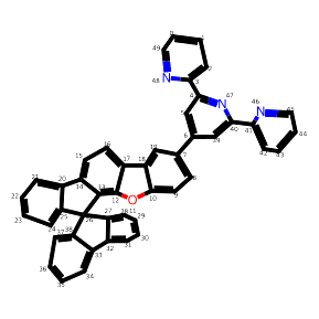 c1ccc(-c2cc(-c3ccc4oc5c6c(ccc5c4c3)-c3ccccc3C63c4ccccc4-c4ccccc43)cc(-c3ccccn3)n2)nc1